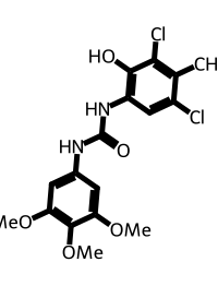 COc1cc(NC(=O)Nc2cc(Cl)c(C)c(Cl)c2O)cc(OC)c1OC